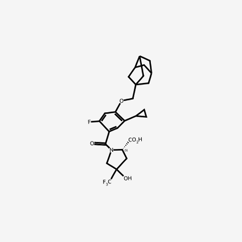 O=C(O)[C@@H]1CC(O)(C(F)(F)F)CN1C(=O)c1cc(C2CC2)c(OCC23CC4CC(C2)C(C4)C3)cc1F